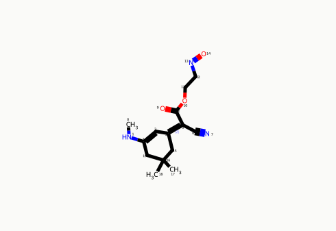 CNC1=C/C(=C(/C#N)C(=O)OCCN=O)CC(C)(C)C1